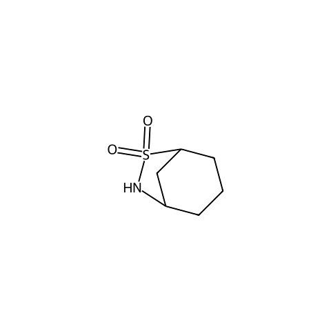 O=S1(=O)NC2CCCC1C2